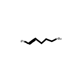 [CH2]CCCCCCC=C[C](C)C